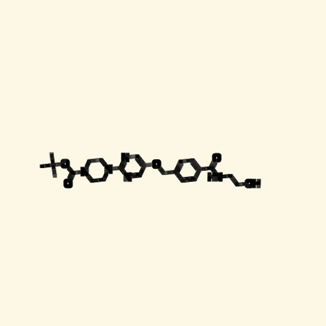 CC(C)(C)OC(=O)N1CCN(c2ncc(OCc3ccc(C(=O)NCCO)cc3)cn2)CC1